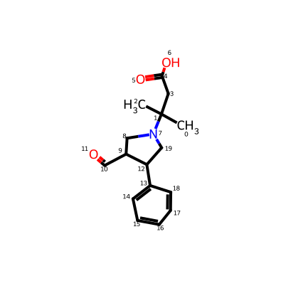 CC(C)(CC(=O)O)N1CC(C=O)C(c2ccccc2)C1